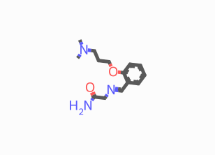 CN(C)CCCOc1ccccc1C=NCC(N)=O